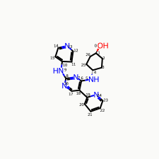 O[C@H]1CC[C@H](Nc2nc(Nc3ccncc3)ncc2-c2ccccn2)CC1